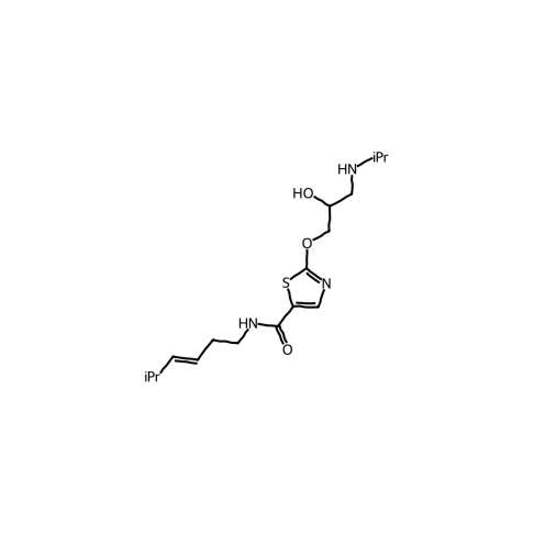 CC(C)/C=C/CCNC(=O)c1cnc(OCC(O)CNC(C)C)s1